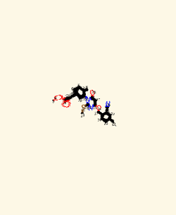 COC(=O)c1ccc(C)c(-n2c(SC)nc(OCc3ccc(C)cc3C#N)cc2=O)c1